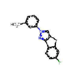 O=C(O)c1cccc(-n2cc3c(n2)-c2ccc(F)cc2C3)c1